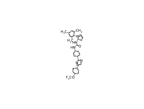 Cc1cc(C)c(-n2nccc2NC(=O)Nc2ccc(-c3ncn(-c4ccc(OC(F)(F)F)cc4)n3)cc2)c(C)c1